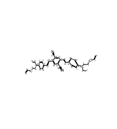 C=COCCN(CC)c1ccc(C=Cc2cc(C#N)c(C=Cc3ccc(N(CC)CCOC=C)cc3)cc2C#N)cc1